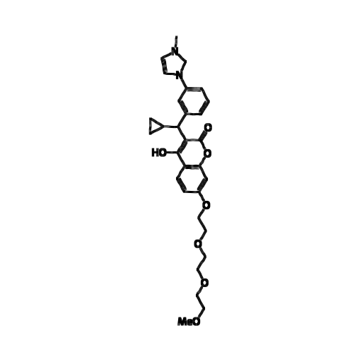 COCCOCCOCCOc1ccc2c(O)c(C(c3cccc(N4C=CN(C)C4)c3)C3CC3)c(=O)oc2c1